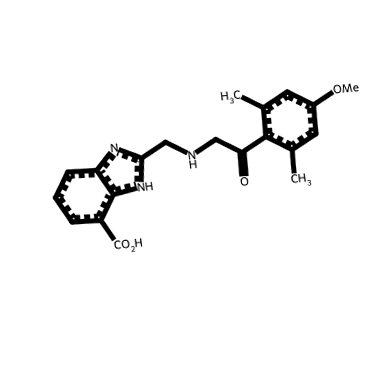 COc1cc(C)c(C(=O)CNCc2nc3cccc(C(=O)O)c3[nH]2)c(C)c1